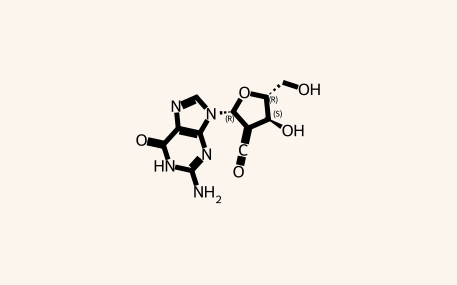 Nc1nc2c(ncn2[C@@H]2O[C@H](CO)[C@@H](O)C2=C=O)c(=O)[nH]1